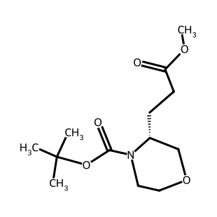 COC(=O)CC[C@@H]1COCCN1C(=O)OC(C)(C)C